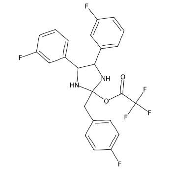 O=C(OC1(Cc2ccc(F)cc2)NC(c2cccc(F)c2)C(c2cccc(F)c2)N1)C(F)(F)F